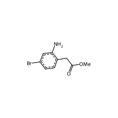 COC(=O)Cc1ccc(Br)cc1N